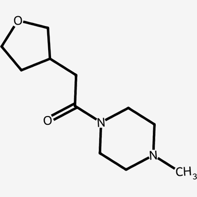 CN1CCN(C(=O)CC2CCOC2)CC1